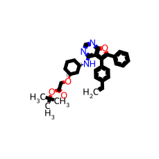 C=Cc1ccc(-c2c(-c3ccccc3)oc3ncnc(N[C@H]4CCC[C@H](OCC(=O)OC(C)(C)C)C4)c23)cc1